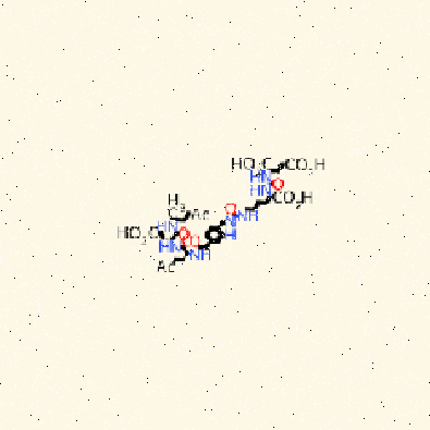 CC(=O)CC[C@@H](C)NC(=O)[C@@H](CCC(=O)O)NC(=O)[C@H](CCC(C)=O)NC(=O)Cc1ccc(CNC(=O)NCCCC[C@H](NC(=O)N[C@@H](CCC(=O)O)C(=O)O)C(=O)O)cc1